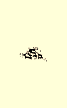 FC(F)(F)c1ccn([C]([Mn])(n2ccc(C(F)(F)F)n2)n2ccc(C(F)(F)F)n2)n1